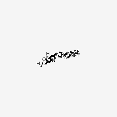 CCc1cc2ncc(CN3CCN(c4cn5cc(SC(F)(F)F)nc5cn4)CC3)cc2[nH]c1=O